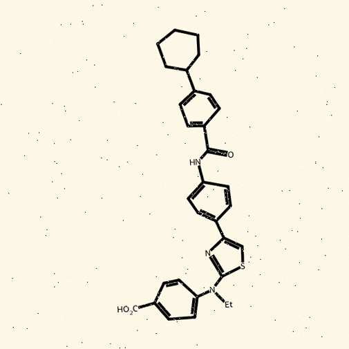 CCN(c1ccc(C(=O)O)cc1)c1nc(-c2ccc(NC(=O)c3ccc(C4CCCCC4)cc3)cc2)cs1